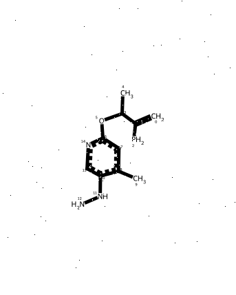 C=C(P)C(C)Oc1cc(C)c(NN)cn1